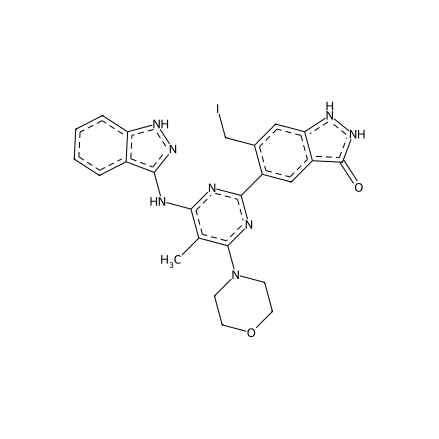 Cc1c(Nc2n[nH]c3ccccc23)nc(-c2cc3c(=O)[nH][nH]c3cc2CI)nc1N1CCOCC1